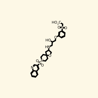 O=C(O)CS(=O)(=O)c1cccc(OCC(O)CNC2COC3(CCN(S(=O)(=O)c4cnc5ccccc5c4)CC3)C2)c1